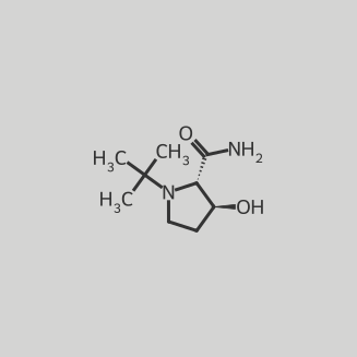 CC(C)(C)N1CC[C@H](O)[C@H]1C(N)=O